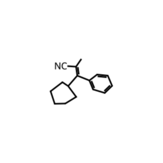 CC(C#N)=C(c1ccccc1)C1CCCCC1